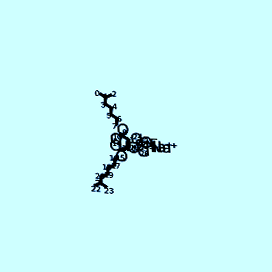 CC(C)CCCCCOC(=O)/C=C\C(=O)OCCCCCC(C)C.O=S(=O)([O-])[O-].[Na+].[Na+]